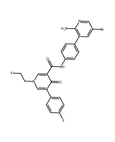 Nc1ncc(Br)cc1-c1ccc(NC(=O)c2cn(CCF)cc(-c3ccc(F)cc3)c2=O)cc1